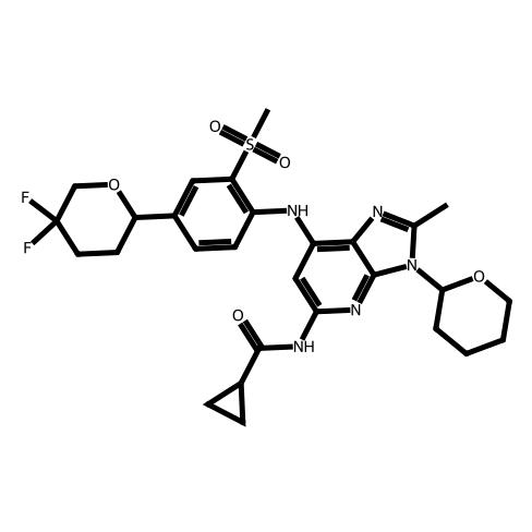 Cc1nc2c(Nc3ccc(C4CCC(F)(F)CO4)cc3S(C)(=O)=O)cc(NC(=O)C3CC3)nc2n1C1CCCCO1